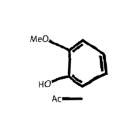 CC(C)=O.COc1ccccc1O